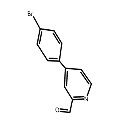 O=Cc1cc(-c2ccc(Br)cc2)ccn1